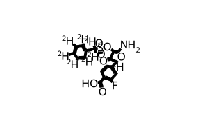 [2H]c1c([2H])c([2H])c(C([2H])([2H])S(=O)(=O)OC2=C(N)O[C@@]([2H])(c3ccc(C(=O)O)c(F)c3)C2=O)c([2H])c1[2H]